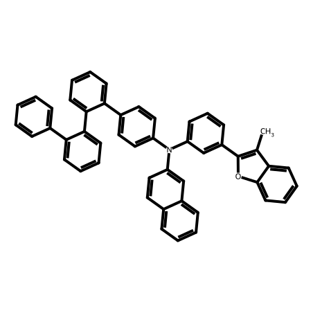 Cc1c(-c2cccc(N(c3ccc(-c4ccccc4-c4ccccc4-c4ccccc4)cc3)c3ccc4ccccc4c3)c2)oc2ccccc12